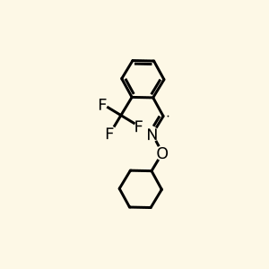 FC(F)(F)c1ccccc1/[C]=N/OC1CCCCC1